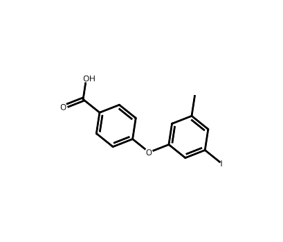 Cc1cc(I)cc(Oc2ccc(C(=O)O)cc2)c1